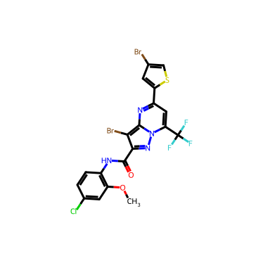 COc1cc(Cl)ccc1NC(=O)c1nn2c(C(F)(F)F)cc(-c3cc(Br)cs3)nc2c1Br